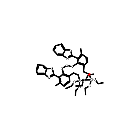 CCO[Si](CCc1ccc(C)c(-c2nc3ccccc3s2)c1SSSc1c(CC[Si](OCC)(OCC)OCC)ccc(C)c1-c1nc2ccccc2s1)(OCC)OCC